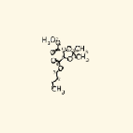 CCCCOC(=O)[C@@H]1OC(C)(C)O[C@H]1C(=O)OC